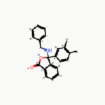 Cc1ccc(C2(NCc3ccccc3)OC(=O)c3ccccc32)cc1C